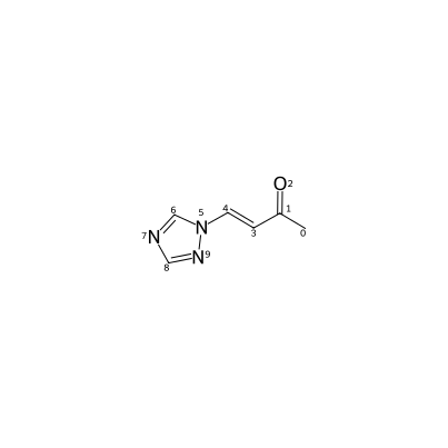 CC(=O)/C=C/n1cncn1